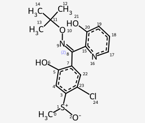 C[S+]([O-])c1cc(O)c(/C(=N/OC(C)(C)C)c2ncccc2O)cc1Cl